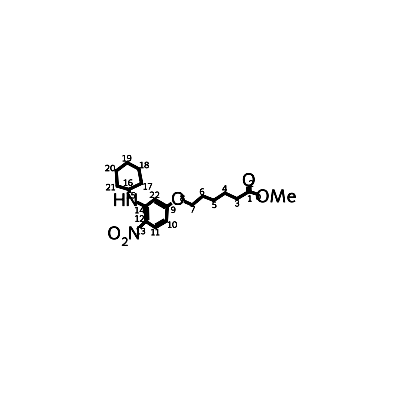 COC(=O)CCCCCOc1ccc([N+](=O)[O-])c(NC2CCCCC2)c1